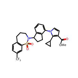 COC(=O)c1ccn(-c2cccc3c2CCC3N2CCCc3ccc(C(F)(F)F)cc3S2(=O)=O)c1C1CC1